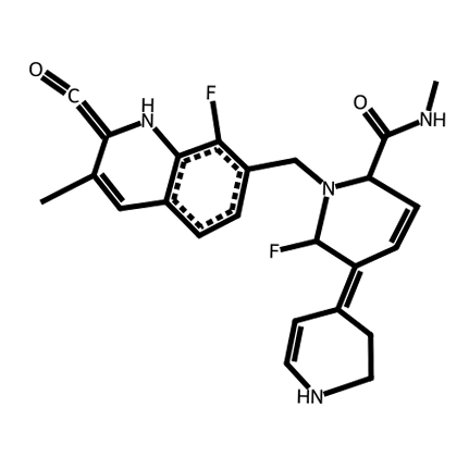 CNC(=O)C1C=CC(=C2C=CNCC2)C(F)N1Cc1ccc2c(c1F)NC(=C=O)C(C)=C2